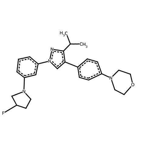 CC(C)c1nn(-c2cccc(N3CCC(F)C3)c2)cc1-c1ccc(N2CCOCC2)cc1